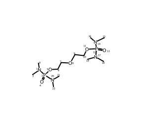 CN(C)P(=O)(OCCOCCOP(=O)(N(C)C)N(C)C)N(C)C